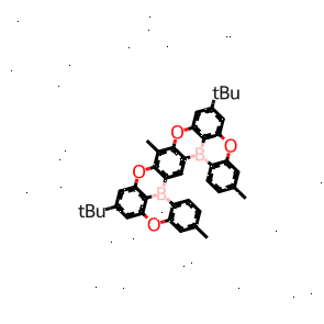 Cc1ccc2c(c1)Oc1cc(C(C)(C)C)cc3c1B2c1cc2c(c(C)c1O3)Oc1cc(C(C)(C)C)cc3c1B2c1ccc(C)cc1O3